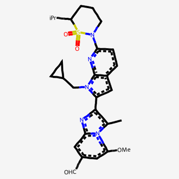 COc1cc(C=O)cc2nc(-c3cc4ccc(N5CCCC(C(C)C)S5(=O)=O)nc4n3CC3CC3)c(C)n12